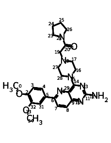 COc1ccc(-c2ccc3nc(N)nc(N4CCN(CC(=O)N5CCCC5)CC4)c3n2)cc1OC